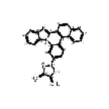 C=C1OB(c2ccc3c4c5ccccc5ccc4c4nc5ccccc5n4c3c2)OC1=C